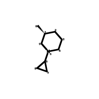 C[C@@H]1CCCN(C2CC2)C1